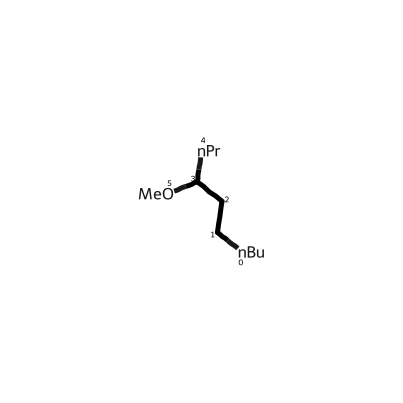 CCCCCCC(CCC)OC